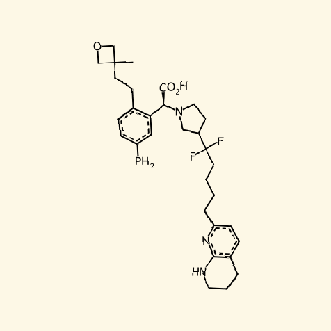 CC1(CCc2ccc(P)cc2[C@@H](C(=O)O)N2CCC(C(F)(F)CCCCc3ccc4c(n3)NCCC4)C2)COC1